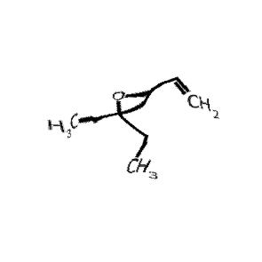 C=CC1OC1(CC)CC